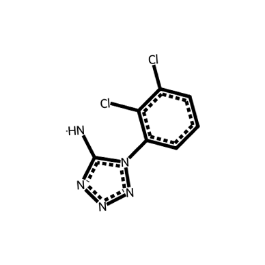 [NH]c1nnnn1-c1cccc(Cl)c1Cl